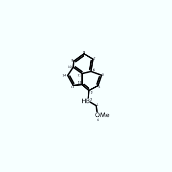 COCBc1ccc2cccc3c2c1C=C3